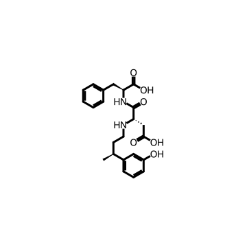 C[C@@H](CCN[C@@H](CC(=O)O)C(=O)N[C@@H](Cc1ccccc1)C(=O)O)c1cccc(O)c1